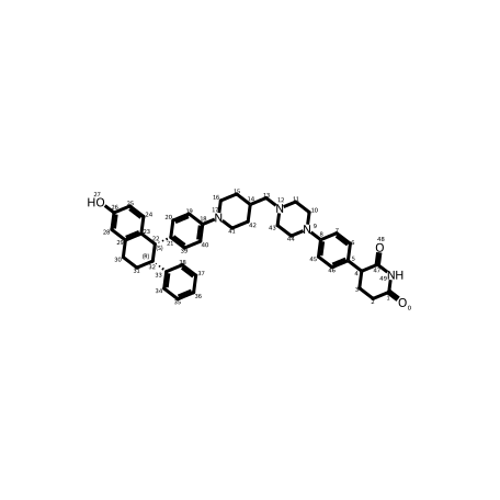 O=C1CCC(c2ccc(N3CCN(CC4CCN(c5ccc([C@H]6c7ccc(O)cc7CC[C@H]6c6ccccc6)cc5)CC4)CC3)cc2)C(=O)N1